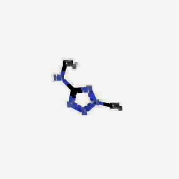 [CH2]Nc1nnn(C)n1